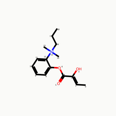 CC=C(O)C(=O)Oc1ccccc1[N+](C)(C)CCC